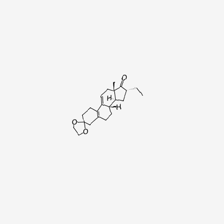 CC[C@@H]1C[C@H]2[C@@H]3CCC4=C(CCC5(C4)OCCO5)C3=CC[C@]2(C)C1=O